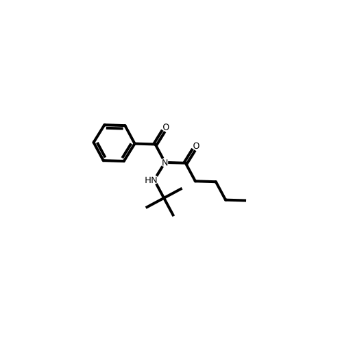 CCCCC(=O)N(NC(C)(C)C)C(=O)c1ccccc1